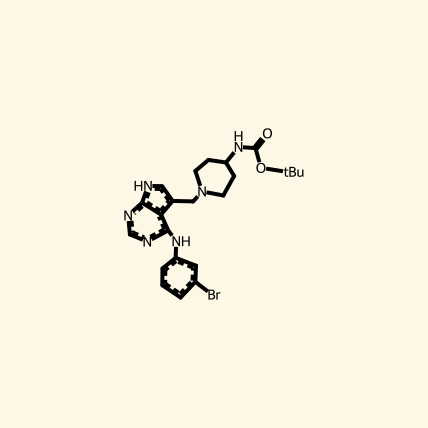 CC(C)(C)OC(=O)NC1CCN(Cc2c[nH]c3ncnc(Nc4cccc(Br)c4)c23)CC1